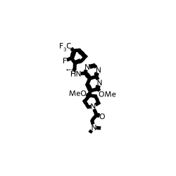 COc1nc2ncnc(N[C@H](C)c3cccc(C(F)(F)F)c3F)c2cc1C1(OC)CCN(C(=O)CN(C)C)CC1